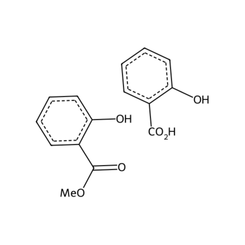 COC(=O)c1ccccc1O.O=C(O)c1ccccc1O